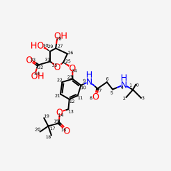 CC(C)(C)NCCC(=O)Nc1cc(COC(=O)C(C)(C)C)ccc1O[C@@H]1CC(O)[C@H](O)C(C(=O)O)O1